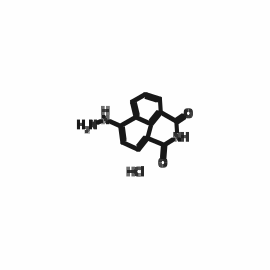 Cl.NNc1ccc2c3c(cccc13)C(=O)NC2=O